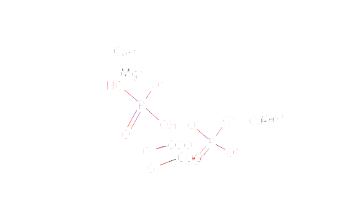 O=C([O-])[O-].O=C([O-])[O-].O=P([O-])(O)O.O=P([O-])([O-])[O-].[Ca+2].[Ca+2].[Ca+2].[Mg+2]